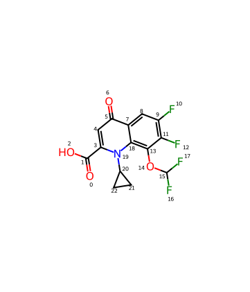 O=C(O)c1cc(=O)c2cc(F)c(F)c(OC(F)F)c2n1C1CC1